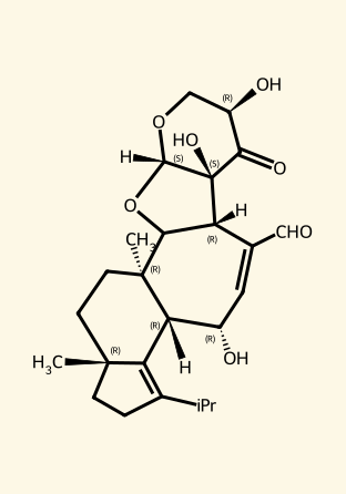 CC(C)C1=C2[C@H]3[C@@H](O)C=C(C=O)[C@@H]4C(O[C@@H]5OC[C@@H](O)C(=O)[C@@]54O)[C@]3(C)CC[C@@]2(C)CC1